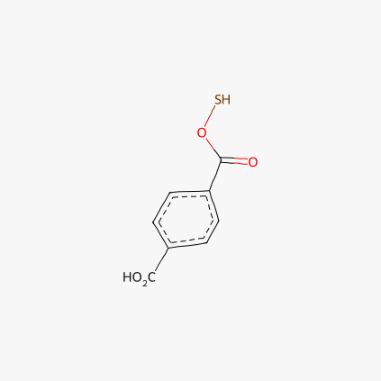 O=C(O)c1ccc(C(=O)OS)cc1